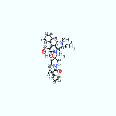 CC(C)N(C)C(=O)C1=CN(CC2(O)CCN(C(=O)C3(c4cccs4)CC3)CC2)CC(C=O)=C1c1ccccc1